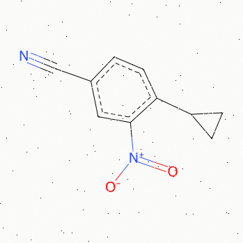 N#Cc1ccc(C2CC2)c([N+](=O)[O-])c1